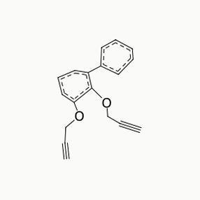 C#CCOc1cccc(-c2ccccc2)c1OCC#C